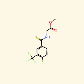 COC(=O)CNC(=S)c1ccc(F)c(C(F)(F)F)c1